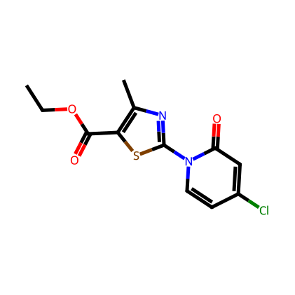 CCOC(=O)c1sc(-n2ccc(Cl)cc2=O)nc1C